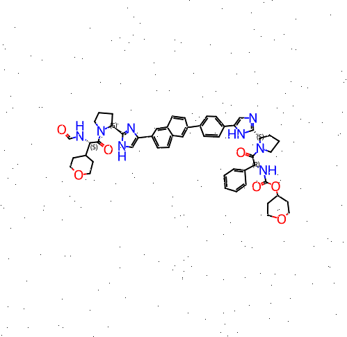 O=CN[C@H](C(=O)N1CCC[C@H]1c1nc(-c2ccc3cc(-c4ccc(-c5cnc([C@@H]6CCCN6C(=O)[C@H](NC(=O)OC6CCOCC6)c6ccccc6)[nH]5)cc4)ccc3c2)c[nH]1)C1CCOCC1